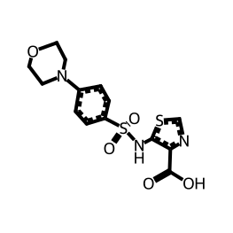 O=C(O)c1ncsc1NS(=O)(=O)c1ccc(N2CCOCC2)cc1